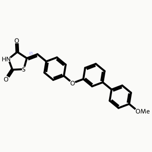 COc1ccc(-c2cccc(Oc3ccc(/C=C4\SC(=O)NC4=O)cc3)c2)cc1